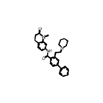 CN1C(=O)CCc2ccc(NC(=O)c3ccc(-c4ccccc4)cc3CCN3CCCCC3)cc21